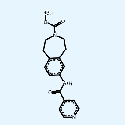 CC(C)(C)OC(=O)N1CCc2ccc([AsH]C(=O)c3ccncc3)cc2CC1